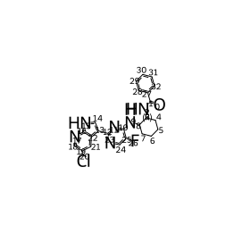 O=C(N[C@@H]1CCCCC1Nc1nc(-c2c[nH]c3ncc(Cl)cc23)ncc1F)c1ccccc1